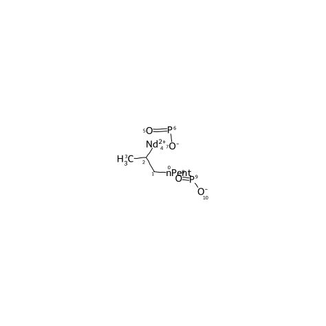 CCCCCC[CH](C)[Nd+2].O=P[O-].O=P[O-]